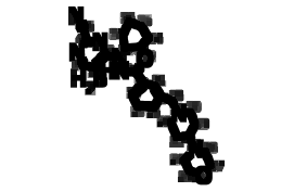 Bc1cnc(C#N)nc1N(NC(=O)c1cccc(CN2CCC(N3CCOCC3)CC2)c1)C1CCCCC1